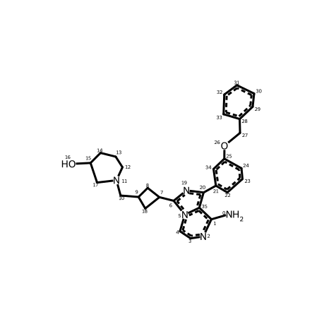 Nc1nccn2c(C3CC(CN4CCCC(O)C4)C3)nc(-c3cccc(OCc4ccccc4)c3)c12